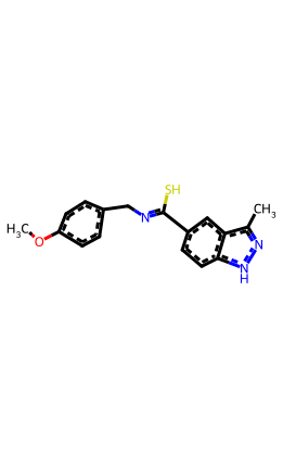 COc1ccc(C/N=C(\S)c2ccc3[nH]nc(C)c3c2)cc1